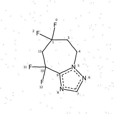 FC1(F)CCn2ncnc2C(F)(F)C1